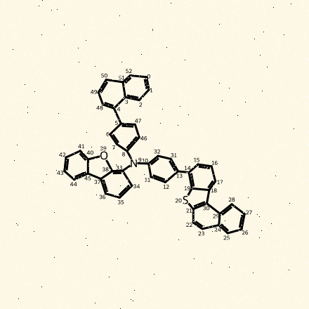 c1ccc2c(-c3ccc(N(c4ccc(-c5cccc6c5sc5ccc7ccccc7c56)cc4)c4cccc5c4oc4ccccc45)cc3)cccc2c1